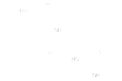 NC(=S)NCC(=O)NCC(=O)O